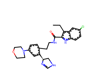 CCc1c(C(=O)NCCc2ccc(N3CCOCC3)cc2[C@H]2CNC=N2)[nH]c2ccc(Cl)cc12